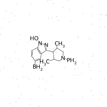 Bc1ccc2c(c1)c(C1C(C)CN(P)CC1C)nn2O